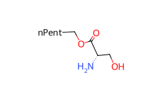 CCCCCCOC(=O)[C@@H](N)CO